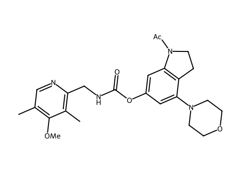 COc1c(C)cnc(CNC(=O)Oc2cc(N3CCOCC3)c3c(c2)N(C(C)=O)CC3)c1C